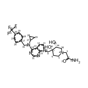 NC(=O)CN1CC[C@@](O)(Cn2ccc3c(N(Cc4ccc(C(F)(F)F)cc4)C4CC4)ncnc32)[C@H](O)C1